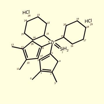 CC1=C(C)C[C]([Zr](=[SiH2])([C]2=CC(C)=C(C)C2)([CH]2CCCCC2)[CH]2CCCCC2)=C1.Cl.Cl